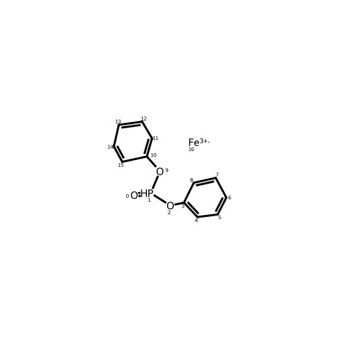 O=[PH](Oc1ccccc1)Oc1ccccc1.[Fe+3]